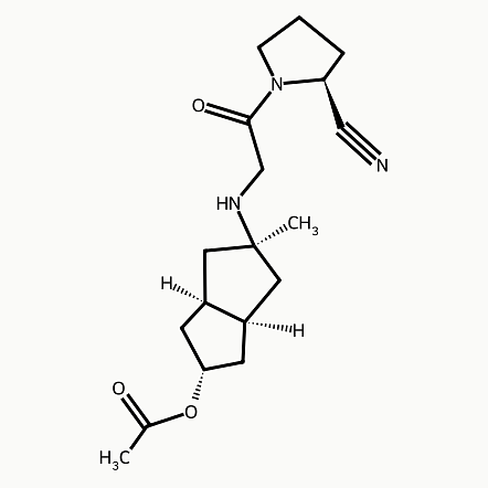 CC(=O)O[C@H]1C[C@@H]2C[C@](C)(NCC(=O)N3CCC[C@H]3C#N)C[C@@H]2C1